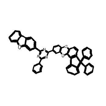 c1ccc(-c2nc(-c3ccc4c(c3)Oc3c(ccc5c3-c3ccccc3C5(c3ccccc3)c3ccccc3)O4)nc(-c3ccc4c(c3)oc3ccccc34)n2)cc1